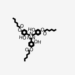 CCCCCC(=O)Oc1ccc(-c2nc(-c3ccc(OC(=O)CCCCC)cc3O)nc(-c3ccc(OC(=O)CCCCC)cc3O)n2)c(O)c1